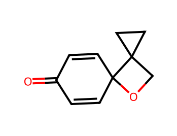 O=C1C=CC2(C=C1)OCC21CC1